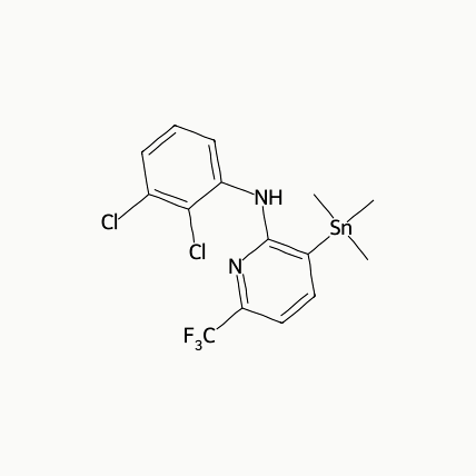 [CH3][Sn]([CH3])([CH3])[c]1ccc(C(F)(F)F)nc1Nc1cccc(Cl)c1Cl